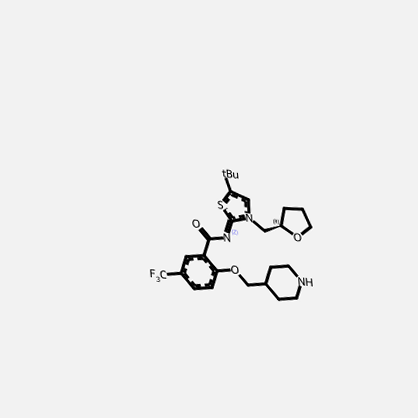 CC(C)(C)c1cn(C[C@H]2CCCO2)/c(=N/C(=O)c2cc(C(F)(F)F)ccc2OCC2CCNCC2)s1